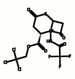 O=C1C[C@@H](C(=O)OCC(Cl)(Cl)Cl)[N+]2(NC(=O)C(F)(F)F)C(=O)CC2S1